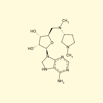 CN1CC[C@@H](N(C)C[C@H]2O[C@@H](N3CNc4c(N)ncnc43)[C@H](O)[C@@H]2O)C1